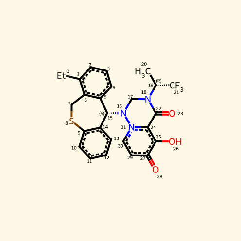 CCc1cccc2c1CSc1ccccc1[C@H]2N1CN([C@H](C)C(F)(F)F)C(=O)c2c(O)c(=O)ccn21